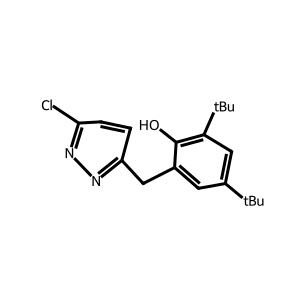 CC(C)(C)c1cc(Cc2ccc(Cl)nn2)c(O)c(C(C)(C)C)c1